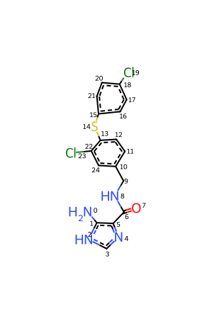 Nc1[nH]cnc1C(=O)NCc1ccc(Sc2ccc(Cl)cc2)c(Cl)c1